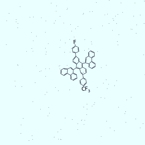 Fc1ccc(-c2ccc3c(-c4cc5ccccc5c5ccccc45)c4cc(-c5ccc(C(F)(F)F)cc5)ccc4c(-c4cc5ccccc5c5ccccc45)c3c2)cc1